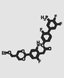 CCOCC1COC(c2cc(F)c(CC(=O)Oc3ccc(-c4cc(F)c(F)c(P)c4)c(F)c3)c(P)c2)OC1